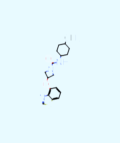 CC1CCC(NC(=O)N2CC(Oc3cccc4scnc34)C2)CC1